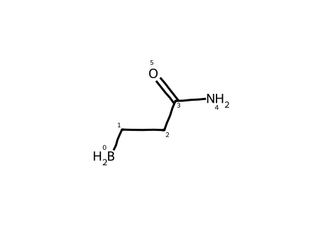 BCCC(N)=O